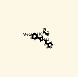 COc1ccc(C2CN(C(=O)CC3CCNC3)C2)cc1.O=C(O)C(F)(F)F